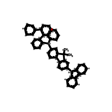 CC1(C)c2cc(N(c3ccccc3)c3ccccc3-c3ccccc3-c3ccccc3)ccc2-c2ccc(-n3c4ccccc4c4ccccc43)cc21